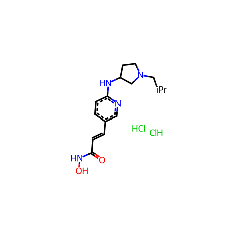 CC(C)CN1CCC(Nc2ccc(/C=C/C(=O)NO)cn2)C1.Cl.Cl